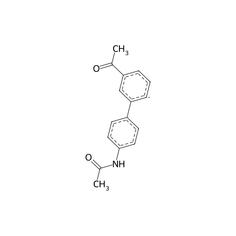 CC(=O)Nc1ccc(-c2[c]ccc(C(C)=O)c2)cc1